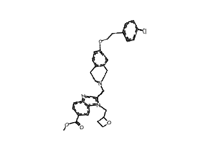 COC(=O)c1ccc2nc(CN3CCc4ccc(OCCc5ccc(Cl)cc5)cc4CC3)n(CC3CCO3)c2c1